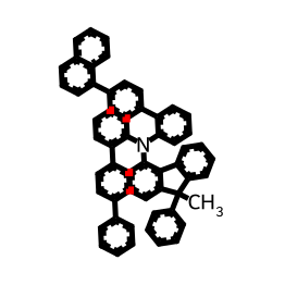 CC1(c2ccccc2)c2ccccc2-c2c(N(c3ccccc3-c3ccc(-c4ccccc4)cc3)c3ccccc3-c3ccc(-c4cccc5ccccc45)cc3)cccc21